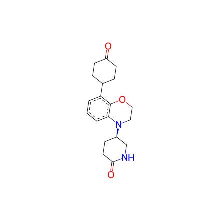 O=C1CCC(c2cccc3c2OCCN3[C@@H]2CCC(=O)NC2)CC1